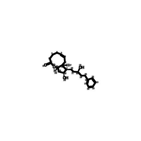 O=C1CCCC=CC[C@@H]2[C@@H](CC[C@@H](O)CCc3ccccc3)[C@H](O)C[C@@H]2O1